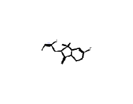 C=C1C2CCC(F)=CC2C(C)(C)C1C/C(I)=C\C